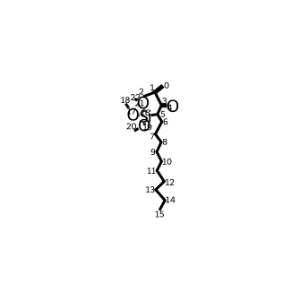 C=C(C)C(=O)C(CCCCCCCCCC)[Si](OC)(OC)OC